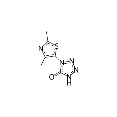 Cc1nc(C)c(-n2nn[nH]c2=O)s1